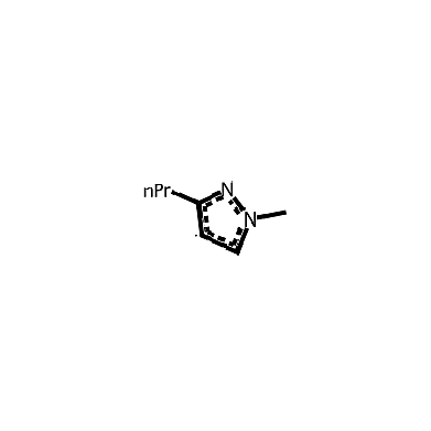 CCCc1[c]cn(C)n1